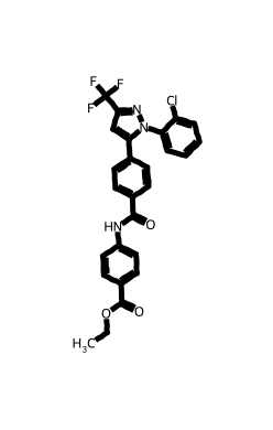 CCOC(=O)c1ccc(NC(=O)c2ccc(-c3cc(C(F)(F)F)nn3-c3ccccc3Cl)cc2)cc1